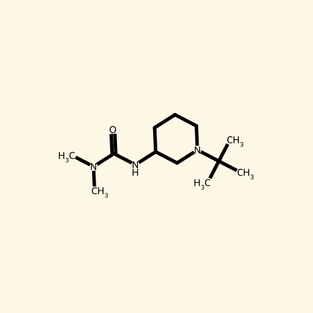 CN(C)C(=O)NC1CCCN(C(C)(C)C)C1